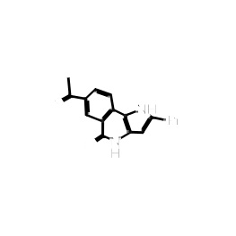 CC(=S)c1ccc2c(c1)c(=O)[nH]c1cc(C(C)C)[nH]c12